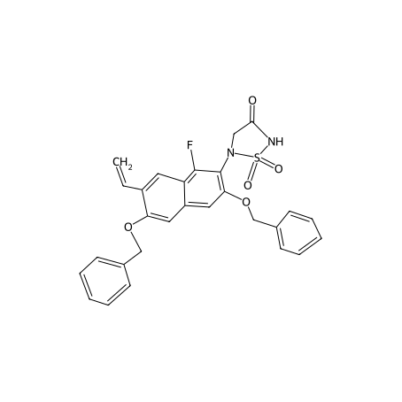 C=Cc1cc2c(F)c(N3CC(=O)NS3(=O)=O)c(OCc3ccccc3)cc2cc1OCc1ccccc1